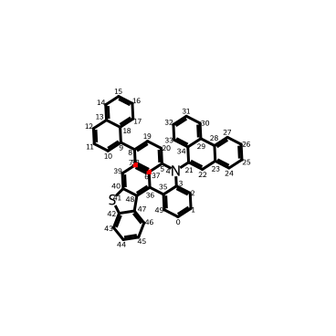 c1ccc(N(c2ccc(-c3cccc4ccccc34)cc2)c2cc3ccccc3c3ccccc23)c(-c2cccc3sc4ccccc4c23)c1